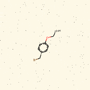 CCCCCCCOc1ccc(CBr)cc1